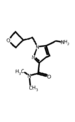 CN(C)C(=O)c1cc(CN)n(CC2COC2)n1